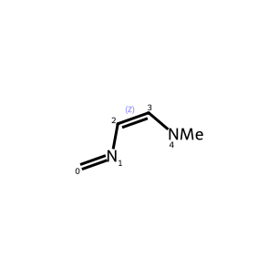 C=N/C=C\NC